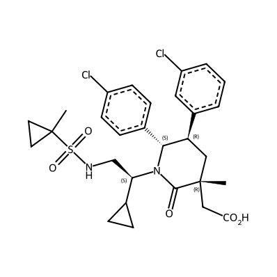 CC1(S(=O)(=O)NC[C@H](C2CC2)N2C(=O)[C@@](C)(CC(=O)O)C[C@H](c3cccc(Cl)c3)[C@H]2c2ccc(Cl)cc2)CC1